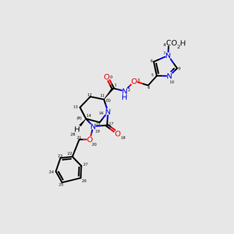 O=C(NOCc1cn(C(=O)O)cn1)[C@@H]1CC[C@@H]2CN1C(=O)N2OCc1ccccc1